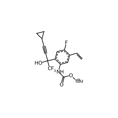 C=Cc1cc(NC(=O)OC(C)(C)C)c(C(O)(C#CC2CC2)C(F)(F)F)cc1F